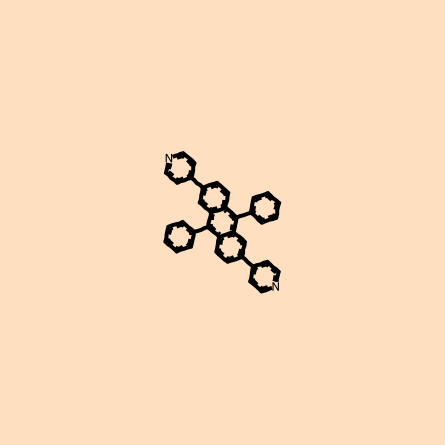 c1ccc(-c2c3ccc(-c4ccncc4)cc3c(-c3ccccc3)c3ccc(-c4ccncc4)cc23)cc1